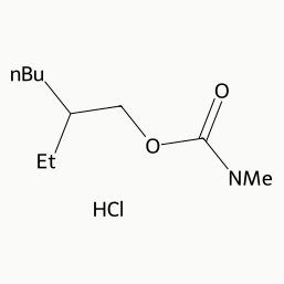 CCCCC(CC)COC(=O)NC.Cl